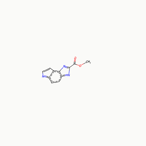 COC(=O)C1=Nc2c3c(ccc2=N1)=NC=C3